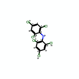 Clc1cc(Cl)c([N]c2c(Cl)cc(Cl)cc2Cl)c(Cl)c1